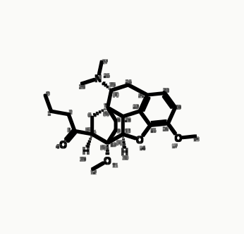 CCCC(=O)[C@H]1C[C@@]23CC[C@@]1(OC)[C@@H]1Oc4c(OC)ccc(c4C12)C[C@H]3N(C)C